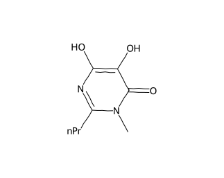 CCCc1nc(O)c(O)c(=O)n1C